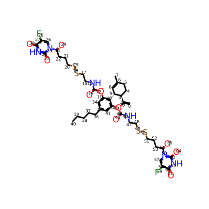 C=C(C)[C@@H]1CCC(C)=C[C@H]1c1c(OC(=O)NCCSSCCCC(=O)n2cc(F)c(=O)[nH]c2=O)cc(CCCCC)cc1OC(=O)NCCSSCCCC(=O)n1cc(F)c(=O)[nH]c1=O